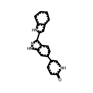 O=c1ccc(-c2ccc3c(-c4cc5ccccc5[nH]4)n[nH]c3c2)c[nH]1